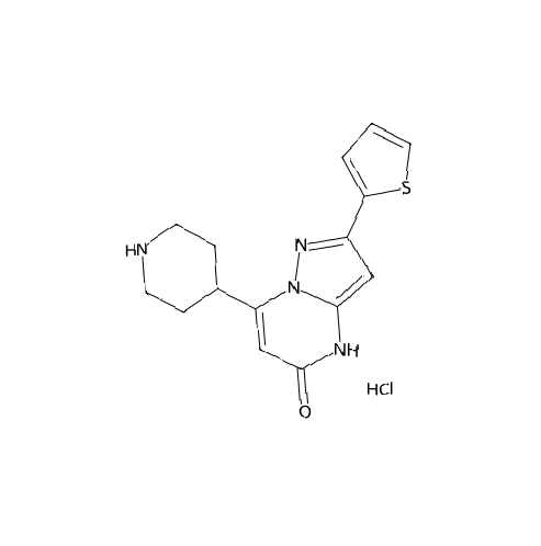 Cl.O=c1cc(C2CCNCC2)n2nc(-c3cccs3)cc2[nH]1